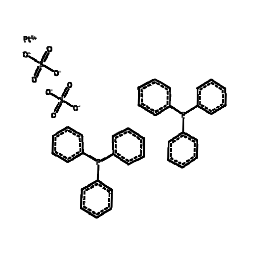 O=S(=O)([O-])[O-].O=S(=O)([O-])[O-].[Pt+4].c1ccc(P(c2ccccc2)c2ccccc2)cc1.c1ccc(P(c2ccccc2)c2ccccc2)cc1